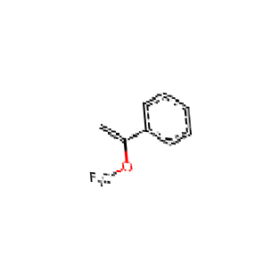 C=C(OC(F)(F)F)c1ccccc1